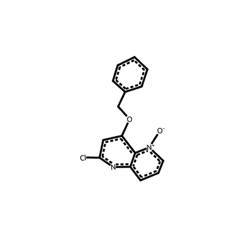 [O-][n+]1cccc2nc(Cl)cc(OCc3ccccc3)c21